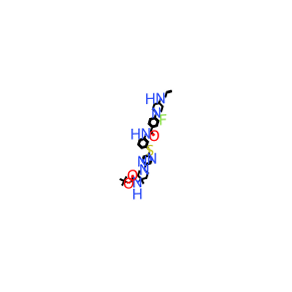 C=CCNC1CCN(c2ccc(C(=O)Nc3cccc(Sc4cnc(N5CCC(C)(NC(=O)OC(C)(C)C)CC5)cn4)c3)cc2F)CC1